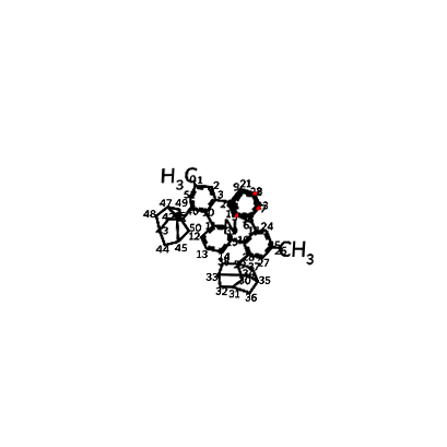 Cc1cc(-c2ccccc2)c(-c2cccc(-c3c(-c4ccccc4)cc(C)cc3C34CC5CC(CC(C5)C3)C4)n2)c(C23CC4CC(CC(C4)C2)C3)c1